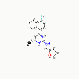 CC(C)c1cc(-c2ccc(F)c3ccccc23)nc(NCC2CCCO2)n1.[Na]